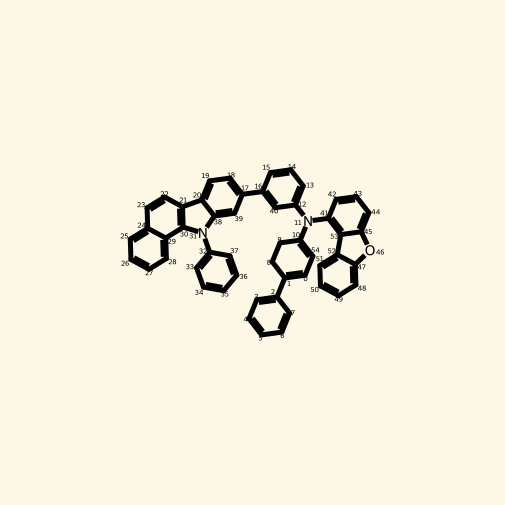 C1=C(c2ccccc2)CCC(N(c2cccc(-c3ccc4c5ccc6ccccc6c5n(-c5ccccc5)c4c3)c2)c2cccc3oc4ccccc4c23)=C1